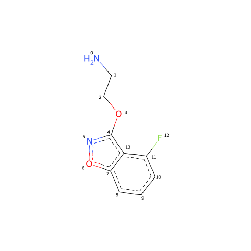 NCCOc1noc2cccc(F)c12